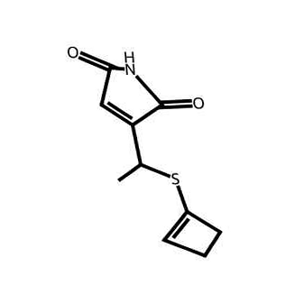 CC(SC1=CCC1)C1=CC(=O)NC1=O